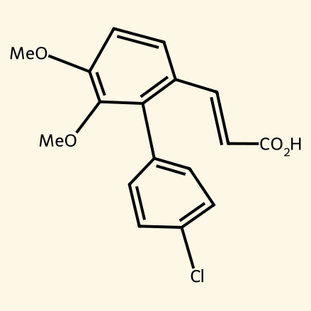 COc1ccc(C=CC(=O)O)c(-c2ccc(Cl)cc2)c1OC